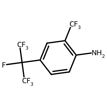 Nc1ccc(C(F)(C(F)(F)F)C(F)(F)F)cc1C(F)(F)F